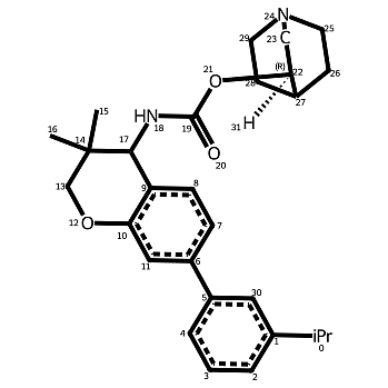 CC(C)c1cccc(-c2ccc3c(c2)OCC(C)(C)C3NC(=O)O[C@H]2CN3CCC2CC3)c1